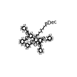 CCCCCCCCCCCCCCCCC=Cn1c(-c2ccc(OCc3ccccc3)c(OCc3ccccc3)c2)c(OCc2ccccc2)c(=O)c2c(OCc3ccccc3)cc(OCc3ccccc3)cc21